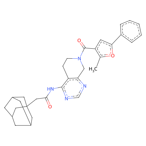 Cc1oc(-c2ccccc2)cc1C(=O)N1CCc2c(ncnc2NC(=O)CC23CC4CC(CC(C4)C2)C3)C1